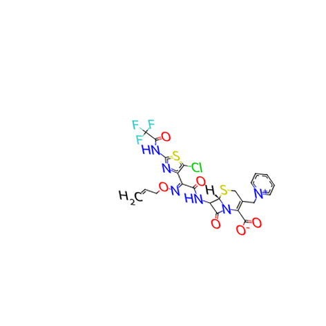 C=CCON=C(C(=O)NC1C(=O)N2C(C(=O)[O-])=C(C[n+]3ccccc3)CS[C@@H]12)c1nc(NC(=O)C(F)(F)F)sc1Cl